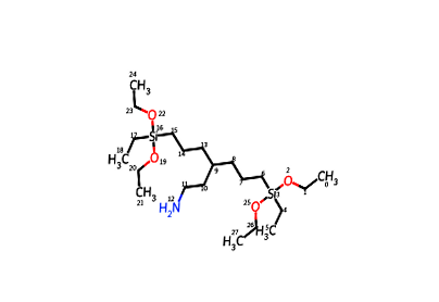 CCO[Si](CC)(CCCC(CCN)CCC[Si](CC)(OCC)OCC)OCC